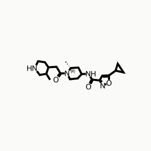 CC1CNCCC1CC(=O)N1CCC(NC(=O)c2cc(C3CC3)on2)C[C@H]1C